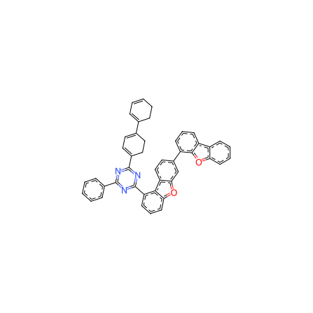 C1=CCCC(C2=CC=C(c3nc(-c4ccccc4)nc(-c4cccc5oc6cc(-c7cccc8c7oc7ccccc78)ccc6c45)n3)CC2)=C1